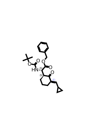 CC(C)(C)OC(=O)N[C@H](C(=O)OCc1ccccc1)[C@@H]1CCC/C(=C\C2CC2)C1=O